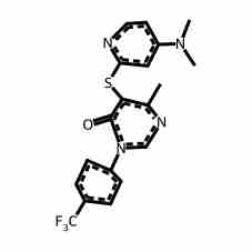 Cc1ncn(-c2ccc(C(F)(F)F)cc2)c(=O)c1Sc1cc(N(C)C)ccn1